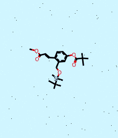 COC(=O)C=Cc1ccc(OC(=O)C(C)(C)C)cc1CO[Si](C)(C)C(C)(C)C